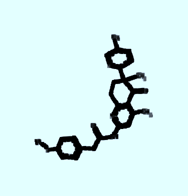 CCSc1ccc(CC(=O)Nc2cc(C)c3c(n2)CCC(C)(c2ccc(O)cn2)C3=O)cc1